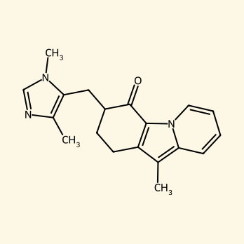 Cc1ncn(C)c1CC1CCc2c(C)c3ccccn3c2C1=O